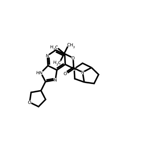 CC(C)(C)OC(=O)N1C2CCC1CN(c1ccnc3[nH]c(C4CCOC4)nc13)C2